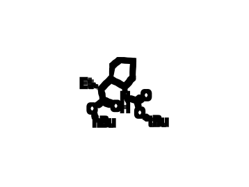 CCCCOC(=O)[C@H](CC)[C@H]1CCCC[C@H]1NC(=O)OC(C)(C)C